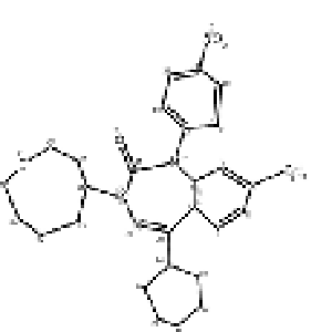 Cc1ccc2c(c1)N(c1ccc([N+](=O)[O-])cc1)C(=O)N(C1CCCCCCC1)N=C2C1CCCCC1